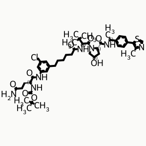 Cc1ncsc1-c1ccc([C@H](C)NC(=O)[C@@H]2C[C@@H](O)CN2C(=O)[C@@H](NC(=O)CCCCCc2cc(Cl)cc(NC(=O)[C@H](CCC(N)=O)NC(=O)OC(C)(C)C)c2)C(C)(C)C)cc1